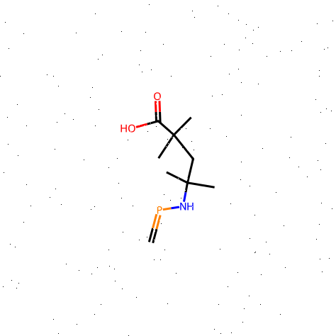 C=PNC(C)(C)CC(C)(C)C(=O)O